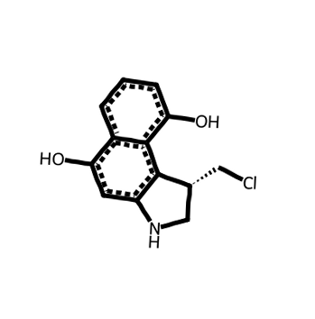 Oc1cc2c(c3c(O)cccc13)[C@H](CCl)CN2